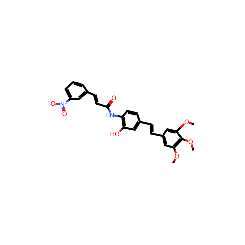 COc1cc(/C=C/c2ccc(NC(=O)/C=C/c3cccc([N+](=O)[O-])c3)c(O)c2)cc(OC)c1OC